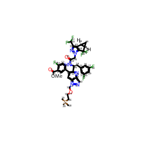 COC(=O)c1cc(-c2cc3c(cnn3COCCS(C)(C)C)nc2[C@H](Cc2cc(F)cc(F)c2)NC(=O)Cn2nc(C(F)F)c3c2C(F)(F)[C@@H]2C[C@H]32)ccc1F